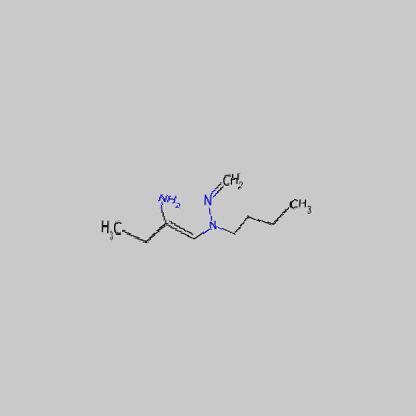 C=NN(/C=C(\N)CC)CCCC